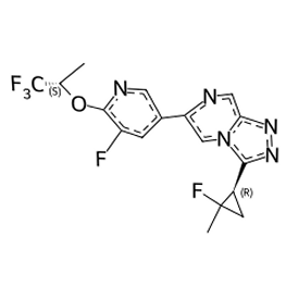 C[C@H](Oc1ncc(-c2cn3c([C@H]4CC4(C)F)nnc3cn2)cc1F)C(F)(F)F